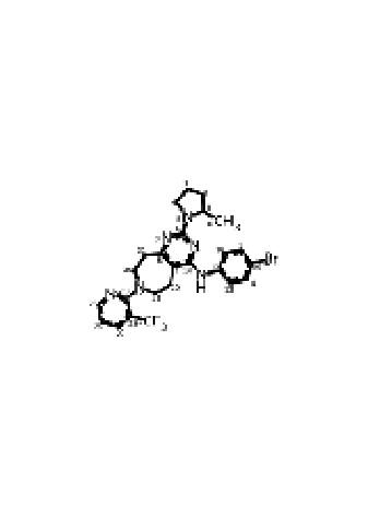 CC1CCCN1c1nc2c(c(Nc3ccc(Br)cc3)n1)CCN(c1ncccc1C(F)(F)F)CC2